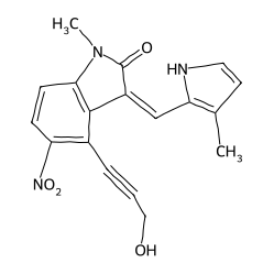 Cc1cc[nH]c1/C=C1\C(=O)N(C)c2ccc([N+](=O)[O-])c(C#CCO)c21